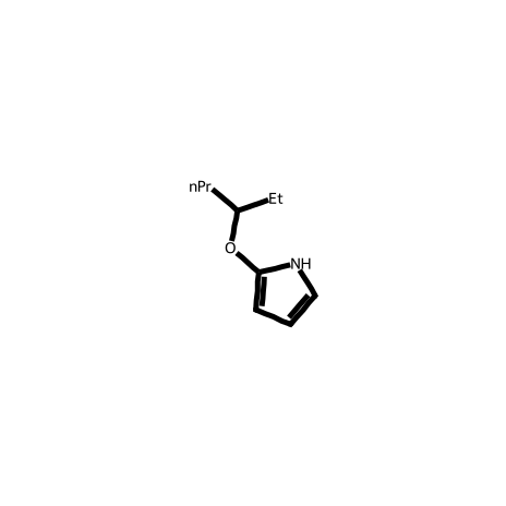 CCCC(CC)Oc1ccc[nH]1